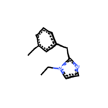 CCn1ccnc1Cc1cccc(C)c1